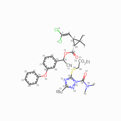 CC1(C)[C@H](C=C(Cl)Cl)[C@H]1C(=O)OC(C#N)c1cccc(Oc2ccccc2)c1.CCOC(=O)CSc1nc(C(C)(C)C)nn1C(=O)N(C)C